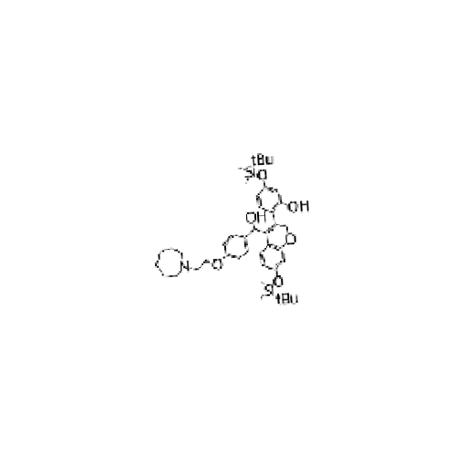 CC(C)(C)[Si](C)(C)Oc1ccc(C2=C(C(O)c3ccc(OCCN4CCCCCC4)cc3)c3ccc(O[Si](C)(C)C(C)(C)C)cc3OC2)c(O)c1